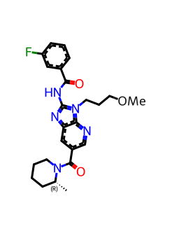 COCCCn1c(NC(=O)c2cccc(F)c2)nc2cc(C(=O)N3CCCC[C@H]3C)cnc21